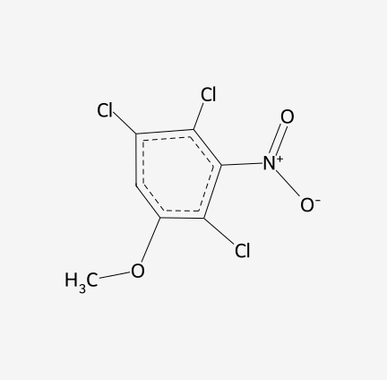 COc1cc(Cl)c(Cl)c([N+](=O)[O-])c1Cl